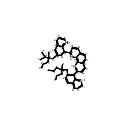 CCCC(C)(CCC)Cc1ccc2cccnc2c1-c1ccc2ccc3ccc(-c4cc(CC(C)(CCC)C(C)C)cc5cccnc45)nc3c2n1